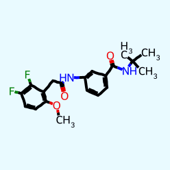 COc1ccc(F)c(F)c1CC(=O)Nc1cccc(C(=O)NC(C)(C)C)c1